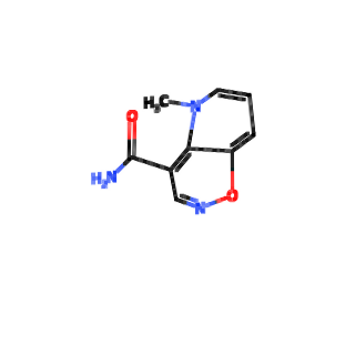 CN1C=CC=C2ON=CC(C(N)=O)=C21